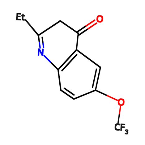 CCC1=Nc2ccc(OC(F)(F)F)cc2C(=O)C1